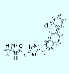 NC1(NC(=O)Cc2nnc(Cc3nc4ccc(-c5ccccc5Cl)cc4s3)o2)CC1